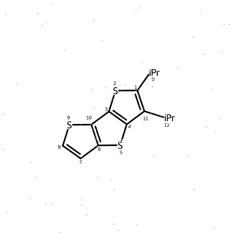 CC(C)c1sc2c(sc3ccsc32)c1C(C)C